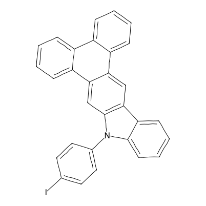 Ic1ccc(-n2c3ccccc3c3cc4c5ccccc5c5ccccc5c4cc32)cc1